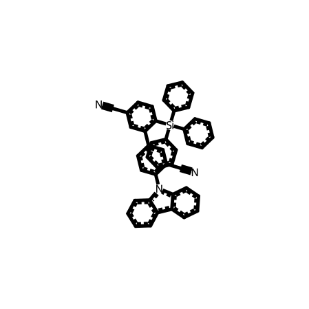 N#Cc1ccc([Si](c2ccccc2)(c2ccccc2)c2ccccc2)c(-c2ccc(-n3c4ccccc4c4ccccc43)c(C#N)c2)c1